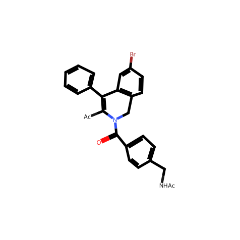 CC(=O)NCc1ccc(C(=O)N2Cc3ccc(Br)cc3C(c3ccccc3)=C2C(C)=O)cc1